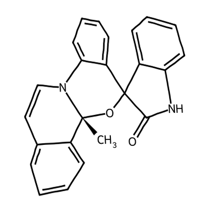 C[C@]12OC3(C(=O)Nc4ccccc43)c3ccccc3N1C=Cc1ccccc12